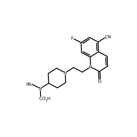 CC(C)(C)N(C(=O)O)C1CCN(CCn2c(=O)ccc3c(C#N)cc(F)cc32)CC1